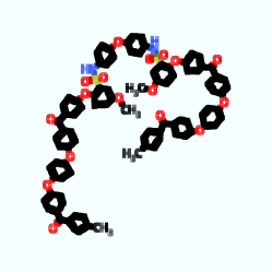 COc1ccc(Oc2ccc(C(=O)c3ccc(Oc4ccc(Oc5ccc(C(=O)c6ccc(C)cc6)cc5)cc4)cc3)cc2)c(S(=O)(=O)Nc2ccc(Oc3ccc(NS(=O)(=O)c4cc(OC)ccc4Oc4ccc(C(=O)c5ccc(Oc6ccc(Oc7ccc(C(=O)c8ccc(C)cc8)cc7)cc6)cc5)cc4)cc3)cc2)c1